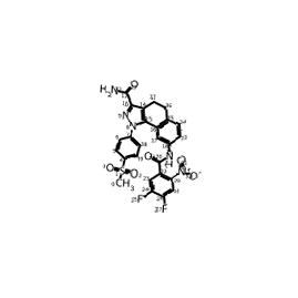 CS(=O)(=O)c1ccc(-n2nc(C(N)=O)c3c2-c2cc(NC(=O)c4cc(F)c(F)cc4[N+](=O)[O-])ccc2CC3)cc1